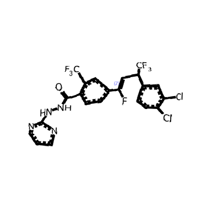 O=C(NNc1ncccn1)c1ccc(/C(F)=C/C(c2ccc(Cl)c(Cl)c2)C(F)(F)F)cc1C(F)(F)F